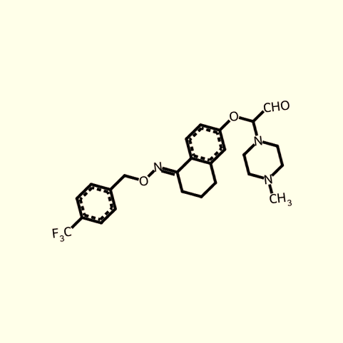 CN1CCN(C(C=O)Oc2ccc3c(c2)CCCC3=NOCc2ccc(C(F)(F)F)cc2)CC1